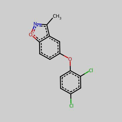 Cc1noc2ccc(Oc3ccc(Cl)cc3Cl)cc12